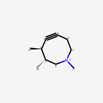 C[C@H]1C#CCCN(C)C[C@@H]1C